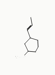 C/C=[C]/C1CCCC(OC)C1